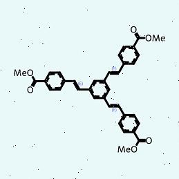 COC(=O)c1ccc(/C=C/c2cc(/C=C/c3ccc(C(=O)OC)cc3)cc(/C=C/c3ccc(C(=O)OC)cc3)c2)cc1